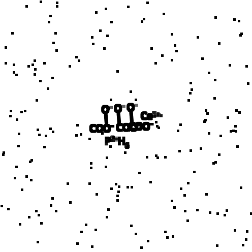 O=C([O-])[O-].O=C([O-])[O-].O=C([O-])[O-].[Ce+3].[PH6+3]